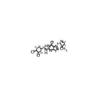 Cn1ccnc1Cn1ncc2nc(NCc3ccc(Cl)c(Cl)c3)[nH]c(=O)c21